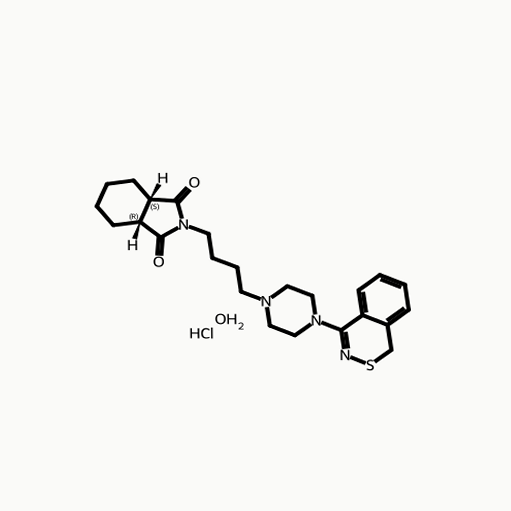 Cl.O.O=C1[C@H]2CCCC[C@H]2C(=O)N1CCCCN1CCN(C2=NSCc3ccccc32)CC1